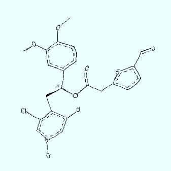 COc1ccc([C@H](Cc2c(Cl)c[n+]([O-])cc2Cl)OC(=O)Cc2ccc(C=O)s2)cc1OC